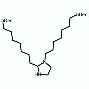 CCCCCCCCCCCCCCCCCC1NCCN1CCCCCCCCCCCCCCCCC